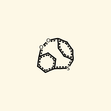 c1cc2ccc1ooc1ccc(cc1)s2